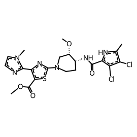 COC(=O)c1sc(N2CC[C@@H](NC(=O)c3[nH]c(C)c(Cl)c3Cl)[C@@H](OC)C2)nc1-c1nccn1C